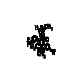 CCN(C)C(=O)Cn1nc2n(c1=O)C(c1ccc(C#N)cc1)C(C(=O)OC)=C(C)N2c1cccc(C(F)(F)F)c1